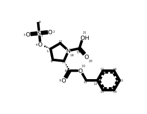 CS(=O)(=O)O[C@H]1C[C@@H](C(=O)OCc2ccccc2)N(C(=O)O)C1